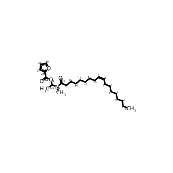 CCCCCCCC/C=C\CCCCCCCC(=O)N(C)C(C)OC(=O)c1ccco1